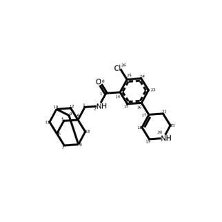 O=C(NCC12CC3CC(CC(C3)C1)C2)c1cc(C2=CCNCC2)ccc1Cl